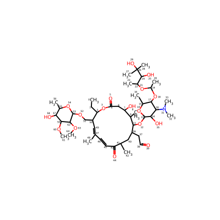 CCC1OC(=O)CC(O)C(C)C(OC2OC(C)C(OC(C)OC(C)C(O)C(C)(C)O)C(N(C)C)C2O)C(CC=O)CC(C)C(=O)/C=C/C(C)=C/C1COC1OC(C)C(O)C(OC)C1OC